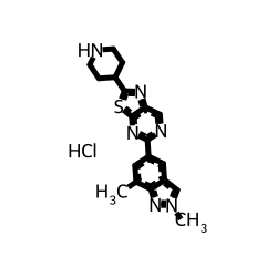 Cc1cc(-c2ncc3nc(C4CCNCC4)sc3n2)cc2cn(C)nc12.Cl